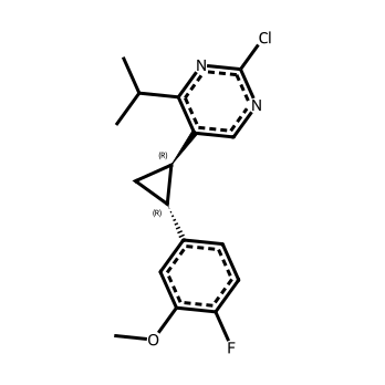 COc1cc([C@@H]2C[C@H]2c2cnc(Cl)nc2C(C)C)ccc1F